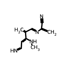 C=C(C#N)/N=C/C(=C)/C(=C/C=N)NC